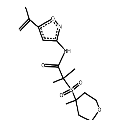 C=C(C)c1cc(NC(=O)C(C)(C)S(=O)(=O)C2(C)CCOCC2)no1